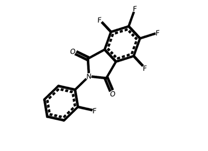 O=C1c2c(F)c(F)c(F)c(F)c2C(=O)N1c1ccccc1F